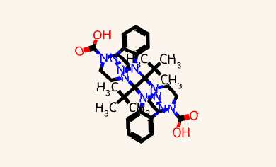 CC(C)(C)C(N1CCN(C(=O)O)CC1)(n1nnc2ccccc21)C(N1CCN(C(=O)O)CC1)(n1nnc2ccccc21)C(C)(C)C